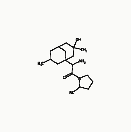 CC1CC2CC(C)(O)CC(C(N)C(=O)N3CCCC3C#N)(C1)C2